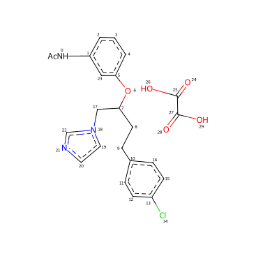 CC(=O)Nc1cccc(OC(CCc2ccc(Cl)cc2)Cn2ccnc2)c1.O=C(O)C(=O)O